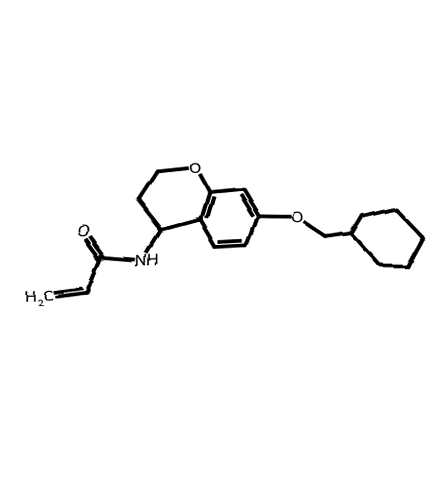 C=CC(=O)NC1CCOc2cc(OCC3CCCCC3)ccc21